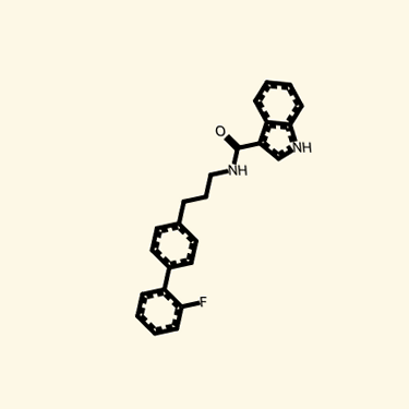 O=C(NCCCc1ccc(-c2ccccc2F)cc1)c1c[nH]c2ccccc12